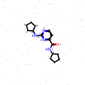 O=C(NC1CCCC1)c1ccnc(NC2CCCC2)n1